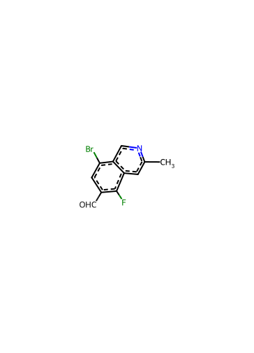 Cc1cc2c(F)c(C=O)cc(Br)c2cn1